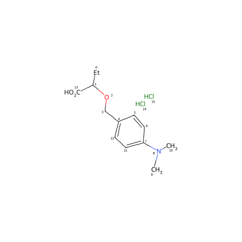 CCC(OCc1ccc(N(C)C)cc1)C(=O)O.Cl.Cl